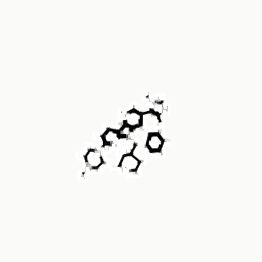 Cc1nnn(C)c1-c1cnc2c3ccc(N4CCN(C)CC4)nc3n([C@H](c3ccccc3)C3CCOCC3)c2c1